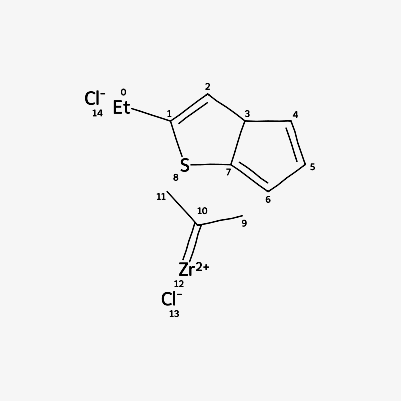 CCC1=CC2C=CC=C2S1.C[C](C)=[Zr+2].[Cl-].[Cl-]